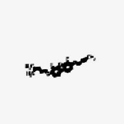 CC#CCOc1ccc2c(oc3c(F)c(OCCCC(C)C)ccc32)c1F